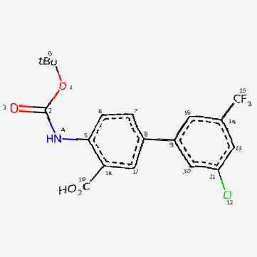 CC(C)(C)OC(=O)Nc1ccc(-c2cc(Cl)cc(C(F)(F)F)c2)cc1C(=O)O